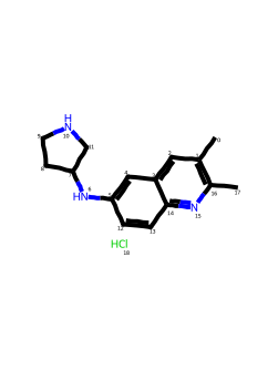 Cc1cc2cc(NC3CCNC3)ccc2nc1C.Cl